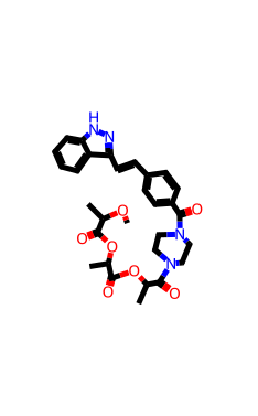 COC(C)C(=O)OC(C)C(=O)OC(C)C(=O)N1CCN(C(=O)c2ccc(/C=C/c3n[nH]c4ccccc34)cc2)CC1